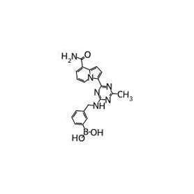 Cc1nc(NCc2cccc(B(O)O)c2)nc(-c2ccc3c(C(N)=O)cccn23)n1